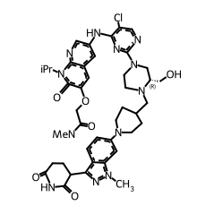 CNC(=O)COc1cc2cc(Nc3nc(N4CCN(CC5CCN(c6ccc7c(C8CCC(=O)NC8=O)nn(C)c7c6)CC5)[C@@H](CO)C4)ncc3Cl)cnc2n(C(C)C)c1=O